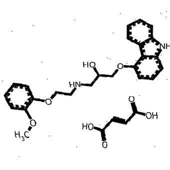 COc1ccccc1OCCNCC(O)COc1cccc2[nH]c3ccccc3c12.O=C(O)/C=C/C(=O)O